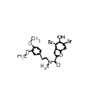 COc1ccc(CCN(C)C(=O)c2cc3c(Br)c(O)c(Br)cc3o2)cc1OC